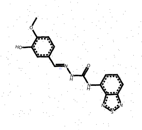 COc1ccc(/C=N/NC(=O)Nc2cccc3nsnc23)cc1O